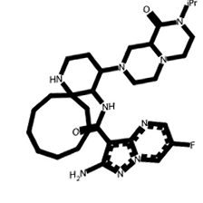 CC(C)N1CCN2CCN(C3CCNC4(CCCCCCCC4)C3NC(=O)c3c(N)nn4cc(F)cnc34)CC2C1=O